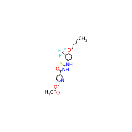 CCCCCOc1ccc(NC(=S)NC(=O)c2ccc(COC(C)=O)nc2)cc1C(F)(F)F